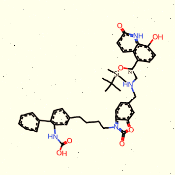 CC(C)(C)[Si](C)(C)O[C@H](CNCc1ccc2c(c1)oc(=O)n2CCCCc1ccc(-c2ccccc2)c(NC(=O)O)c1)c1ccc(O)c2[nH]c(=O)ccc12